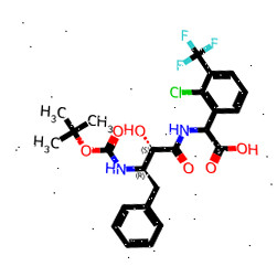 CC(C)(C)OC(=O)N[C@H](Cc1ccccc1)[C@H](O)C(=O)NC(C(=O)O)c1cccc(C(F)(F)F)c1Cl